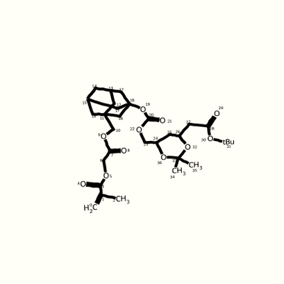 C=C(C)C(=O)OCC(=O)OCC12CC3CC(C1)CC(OC(=O)OCC1CC(CC(=O)OC(C)(C)C)OC(C)(C)O1)(C3)C2